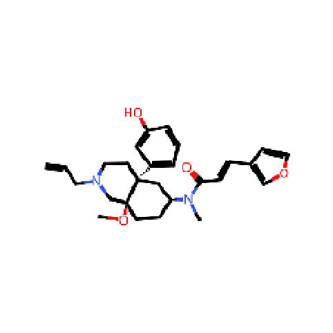 C=CCN1CC[C@@]2(c3cccc(O)c3)C[C@@H](N(C)C(=O)/C=C/c3ccoc3)CC[C@]2(OC)C1